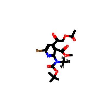 [2H]C([2H])([2H])N(C(=O)OC(C)(C)C)c1nc(Br)cc(C(=O)COC(C)=O)c1C(=O)OC